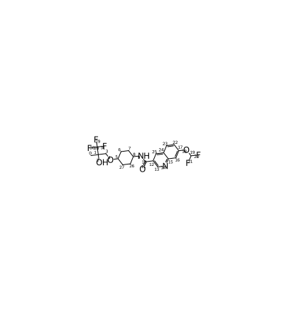 CC(O)(COC1CCC(NC(=O)c2cnc3cc(OC(F)F)ccc3c2)CC1)C(F)(F)F